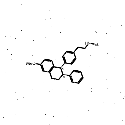 CCNCCc1ccc([C@@H]2c3ccc(OC)cc3CC[C@@H]2c2ccccc2)cc1